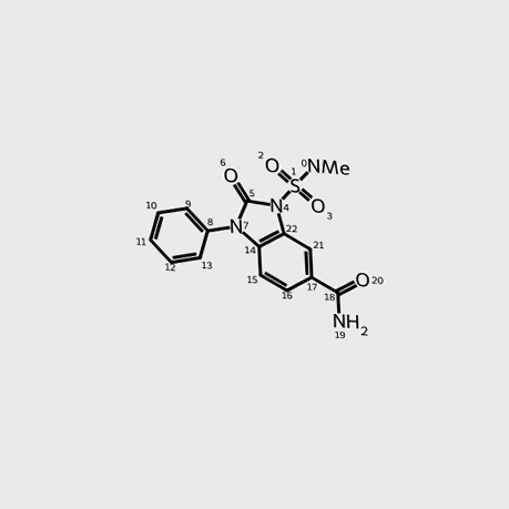 CNS(=O)(=O)n1c(=O)n(-c2ccccc2)c2ccc(C(N)=O)cc21